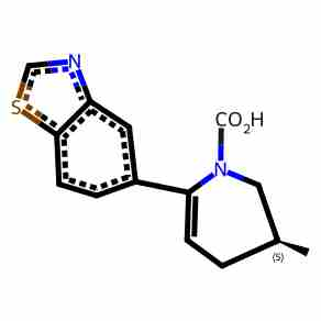 C[C@H]1CC=C(c2ccc3scnc3c2)N(C(=O)O)C1